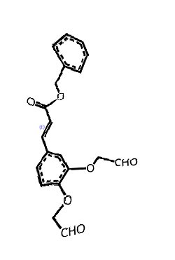 O=CCOc1ccc(/C=C/C(=O)OCc2ccccc2)cc1OCC=O